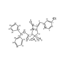 CCc1ccnc(/C=C2/C(=O)N3C2CC(C)(C)[C@@H]3C(=O)OC(c2ccccc2)c2ccccc2)c1